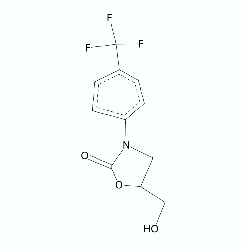 O=C1OC(CO)CN1c1ccc(C(F)(F)F)cc1